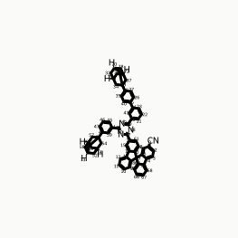 N#Cc1ccc2c(c1)C1(c3ccccc3-c3cc(-c4nc(-c5cccc(-c6ccc(C78C[C@H]9C[C@@H](C7)C[C@@H](C8)C9)cc6)c5)nc(-c5cccc(C67C[C@H]8C[C@@H](C6)C[C@@H](C7)C8)c5)n4)ccc31)c1ccccc1-2